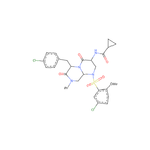 COc1ccc(Cl)cc1S(=O)(=O)N1CC(NC(=O)C2CC2)C(=O)N2C(Cc3ccc(Cl)cc3)C(=O)N(C(C)C)CC21